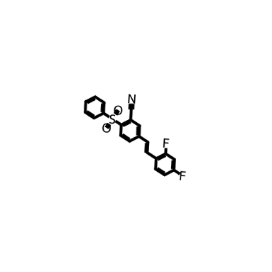 N#Cc1cc(/C=C/c2ccc(F)cc2F)ccc1S(=O)(=O)c1ccccc1